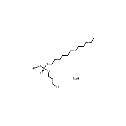 CCCCCCCCCCCCOP(=O)(OO)OCCCCl.[NaH]